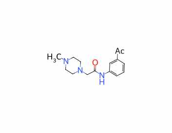 CC(=O)c1cccc(NC(=O)CN2CCN(C)CC2)c1